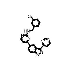 Clc1cccc(CNc2nccc(-c3ccc4noc(-c5ccncn5)c4c3)n2)c1